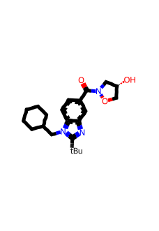 CC(C)(C)c1nc2cc(C(=O)N3C[C@H](O)CO3)ccc2n1CC1CCCCC1